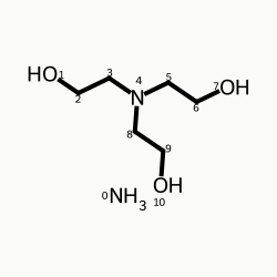 N.OCCN(CCO)CCO